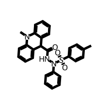 Cc1ccc(S(=O)(=O)N(NC(=O)C2c3ccccc3N(C)c3ccccc32)c2ccccc2)cc1